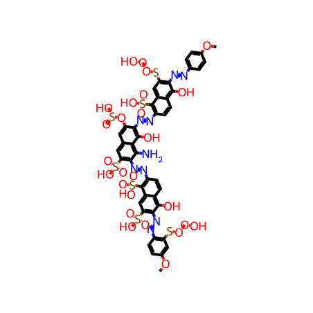 COc1ccc(N=Nc2c(SOOO)cc3c(S(=O)(=O)O)c(N=Nc4c(OS(=O)O)cc5cc(S(=O)(=O)O)c(N=Nc6ccc7c(O)c(N=Nc8ccc(OC)cc8SOOO)c(S(=O)(=O)O)cc7c6S(=O)(=O)O)c(N)c5c4O)ccc3c2O)cc1